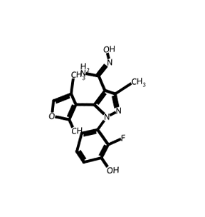 Cc1coc(C)c1-c1c(/C(N)=N/O)c(C)nn1-c1cccc(O)c1F